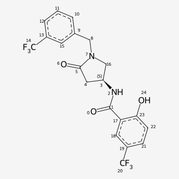 O=C(N[C@H]1CC(=O)N(Cc2cccc(C(F)(F)F)c2)C1)c1cc(C(F)(F)F)ccc1O